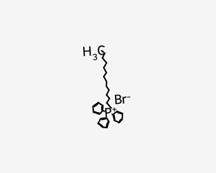 CCCCCCCCCCCCCC[P+](c1ccccc1)(c1ccccc1)c1ccccc1.[Br-]